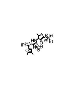 CCN(CC)S(=O)(=O)C1=C(O)C(Nc2n[s+]([O-])nc2N[C@@H](c2cc(C)c(C)o2)C(C)C)C(C)S1